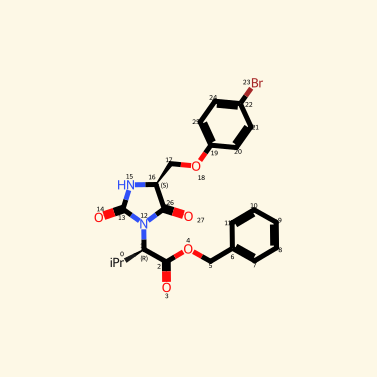 CC(C)[C@H](C(=O)OCc1ccccc1)N1C(=O)N[C@@H](COc2ccc(Br)cc2)C1=O